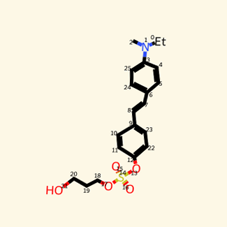 CCN(C)c1ccc(/C=C/c2ccc(OS(=O)(=O)OCCCO)cc2)cc1